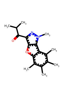 Cc1c(C)c(C)c2c(oc3c(C(=O)C(C)C)nn(C)c32)c1C